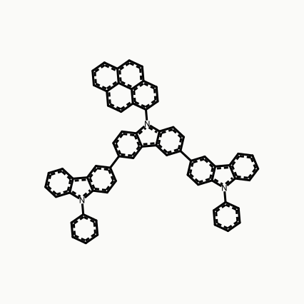 c1ccc(-n2c3ccccc3c3cc(-c4ccc5c(c4)c4cc(-c6ccc7c(c6)c6ccccc6n7-c6ccccc6)ccc4n5-c4ccc5ccc6cccc7ccc4c5c67)ccc32)cc1